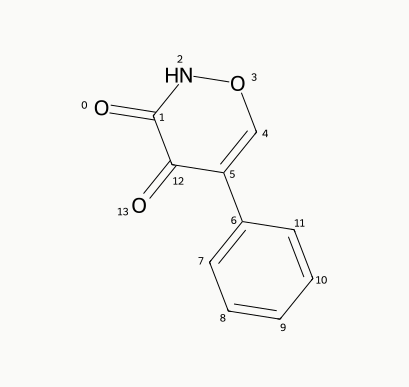 O=c1[nH]occ(-c2ccccc2)c1=O